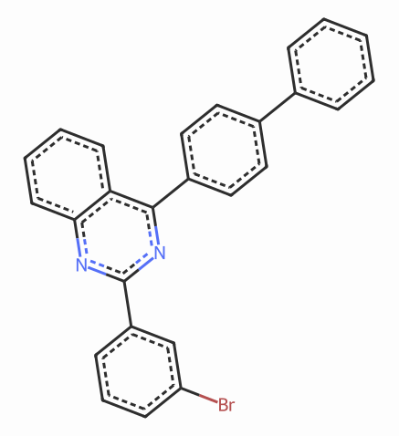 Brc1cccc(-c2nc(-c3ccc(-c4ccccc4)cc3)c3ccccc3n2)c1